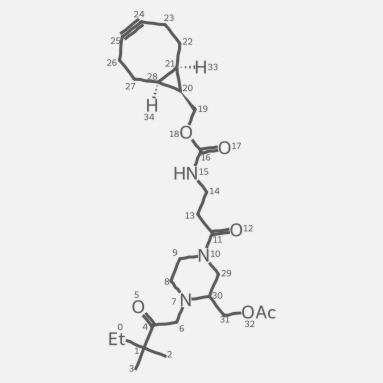 CCC(C)(C)C(=O)CN1CCN(C(=O)CCNC(=O)OC[C@@H]2[C@@H]3CCC#CCC[C@@H]32)CC1COC(C)=O